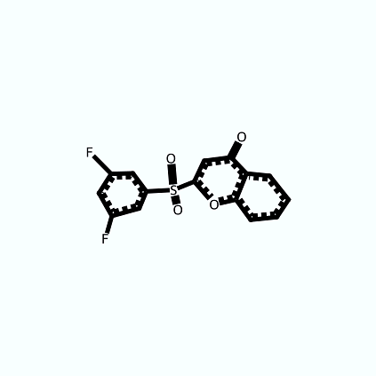 O=c1cc(S(=O)(=O)c2cc(F)cc(F)c2)oc2ccccc12